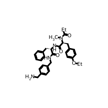 CCOc1ccc(C[C@@H](C(=O)N[C@@H](Cc2ccccc2)C(=O)NCc2ccc(CN)cc2)N(C)C(=O)CC)cc1